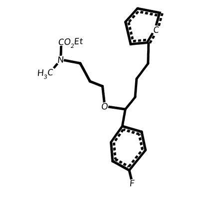 CCOC(=O)N(C)CCCOC(CCCc1ccccc1)c1ccc(F)cc1